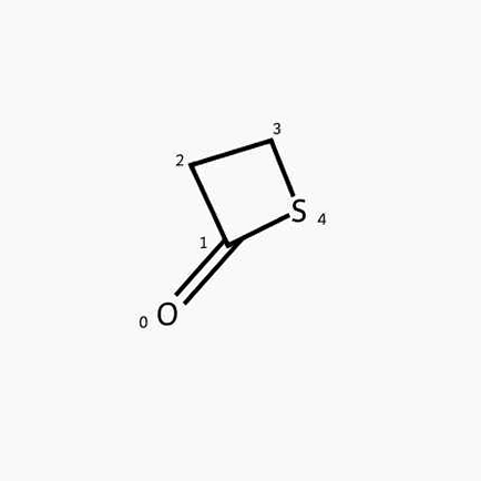 O=C1CCS1